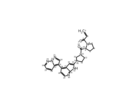 C=CC(=O)N1CCC[C@H]1C(=O)N1CC[C@@H](c2cc3c(-c4cnn5ncccc45)ccnc3[nH]2)C1